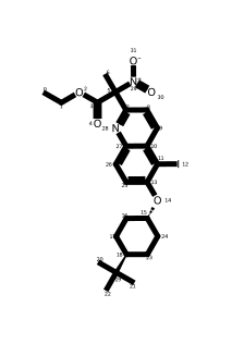 CCOC(=O)C(C)(c1ccc2c(I)c(O[C@H]3CC[C@H](C(C)(C)C)CC3)ccc2n1)[N+](=O)[O-]